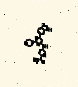 CNC(=O)c1ccc(Nc2cc(-c3ccc4nc[nH]c4c3)nc(N3CCOCC3)n2)cn1